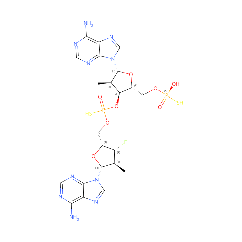 C[C@@H]1[C@@H](F)[C@@H](COP(=O)(S)O[C@H]2[C@@H](C)[C@H](n3cnc4c(N)ncnc43)O[C@@H]2CO[P@](=O)(O)S)O[C@H]1n1cnc2c(N)ncnc21